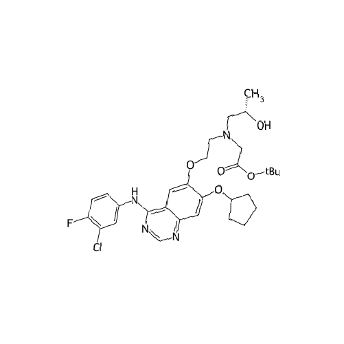 C[C@H](O)CN(CCOc1cc2c(Nc3ccc(F)c(Cl)c3)ncnc2cc1OC1CCCC1)CC(=O)OC(C)(C)C